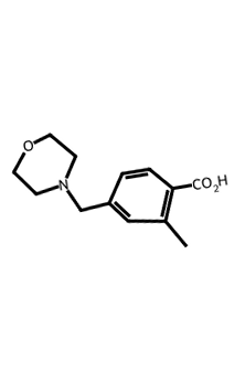 Cc1cc(CN2CCOCC2)ccc1C(=O)O